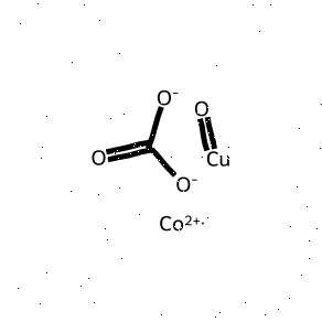 O=C([O-])[O-].[Co+2].[O]=[Cu]